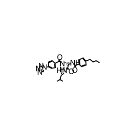 CCCCc1ccc(C(=O)N[C@@H](CNC(=O)c2ccc(-n3cnnn3)cc2)C(=O)N[CH]CC(C)C)cc1